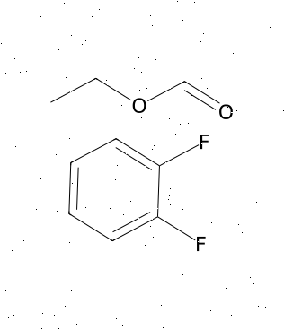 CCOC=O.Fc1ccccc1F